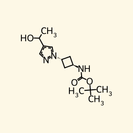 CC(O)c1cnn([C@H]2C[C@H](NC(=O)OC(C)(C)C)C2)c1